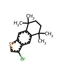 CC1(C)CCC(C)(C)c2cc3c(Br)csc3cc21